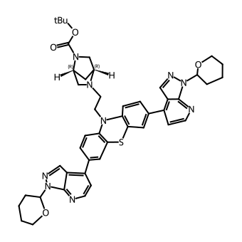 CC(C)(C)OC(=O)N1C[C@H]2C[C@@H]1CN2CCN1c2ccc(-c3ccnc4c3cnn4C3CCCCO3)cc2Sc2cc(-c3ccnc4c3cnn4C3CCCCO3)ccc21